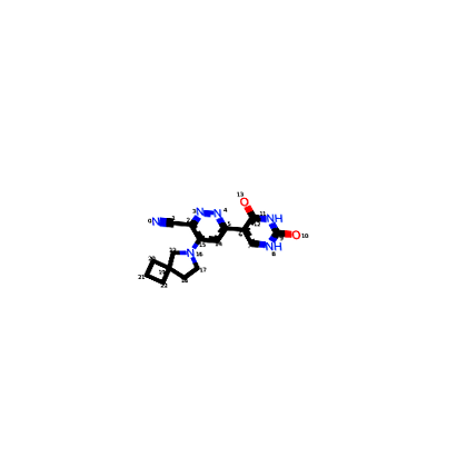 N#Cc1nnc(-c2c[nH]c(=O)[nH]c2=O)cc1N1CCC2(CCC2)C1